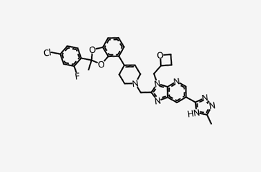 Cc1nnc(-c2cnc3c(c2)nc(CN2CC=C(c4cccc5c4OC(C)(c4ccc(Cl)cc4F)O5)CC2)n3CC2CCO2)[nH]1